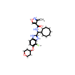 Cc1nocc1C(=O)NC(c1nc2c(F)c(OC3CCOCC3)ccc2[nH]1)C1CCCCCCC1